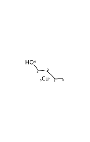 CCCCO.[Cu]